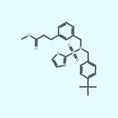 COC(=O)CCc1cccc(CN(Cc2ccc(C(C)(C)C)cc2)S(=O)(=O)c2nccs2)c1